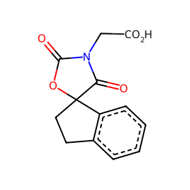 O=C(O)CN1C(=O)OC2(CCc3ccccc32)C1=O